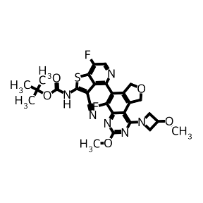 COc1nc(N2CC(OC)C2)c2c3c(c(-c4ncc(F)c5sc(NC(=O)OC(C)(C)C)c(C#N)c45)c(F)c2n1)COC3